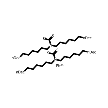 CCCCCCCCCCCCCCCCN(CCCCCCCCCCCCCCCC)C(=S)[S-].CCCCCCCCCCCCCCCCN(CCCCCCCCCCCCCCCC)C(=S)[S-].[Pb+2]